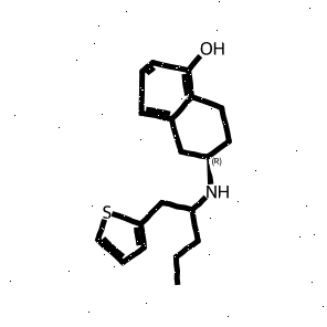 CCCC(Cc1cccs1)N[C@@H]1CCc2c(O)cccc2C1